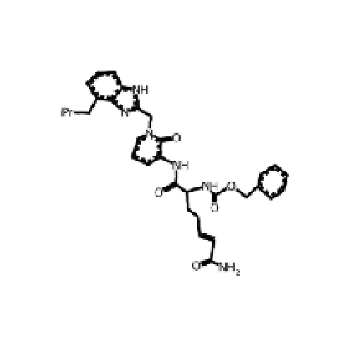 CC(C)Cc1cccc2[nH]c(Cn3cccc(NC(=O)C(CC/C=C/C(N)=O)NC(=O)OCc4ccccc4)c3=O)nc12